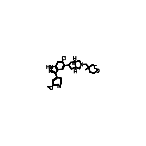 COc1cc(-c2n[nH]c3cc(Cl)c(C4C[C@@H]5CN(CC6(C)CCOCC6)C[C@@H]5C4)cc23)ccn1